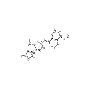 COc1cc(/C=C2\CCCN3C2=NOCC3CBr)ccc1-n1cnc(C)c1